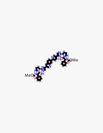 COC(=O)N[C@@H](C(=O)N1CCC[C@H]1c1nc(-c2cnc3cc(-c4ccc(-c5cnc([C@@H]6CCCN6C(=O)[C@H](NC(=O)OC)c6ccccc6)[nH]5)cn4)ccc3c2)c[nH]1)c1ccccc1